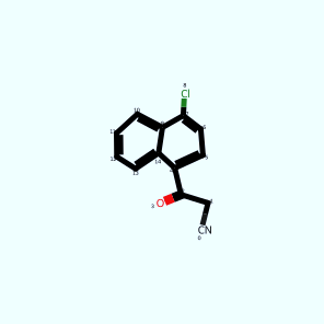 N#CCC(=O)c1ccc(Cl)c2ccccc12